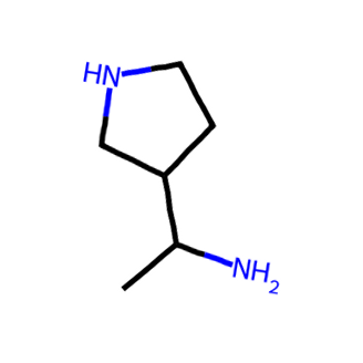 CC(N)C1CCNC1